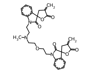 C=C1CC2(OC1=O)C(=O)N(CCOCCN(C)CCN1C(=O)C3(CC(=C)C(=O)O3)c3ccccc31)c1ccccc12